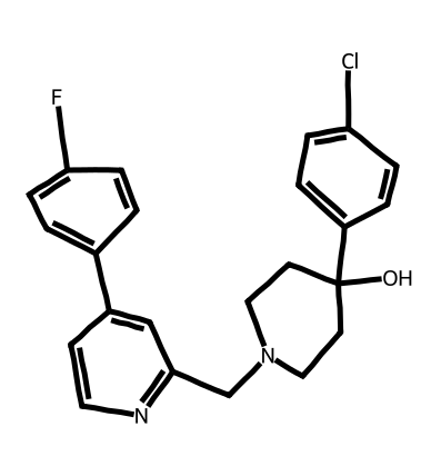 OC1(c2ccc(Cl)cc2)CCN(Cc2cc(-c3ccc(F)cc3)ccn2)CC1